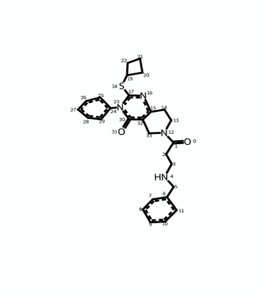 O=C(CCNCc1ccccc1)N1CCc2nc(SC3CCC3)n(-c3ccccc3)c(=O)c2C1